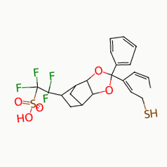 C/C=C\C(=C/CS)C1(c2ccccc2)OC2C3CC(C2O1)C(C(F)(F)C(F)(F)S(=O)(=O)O)C3